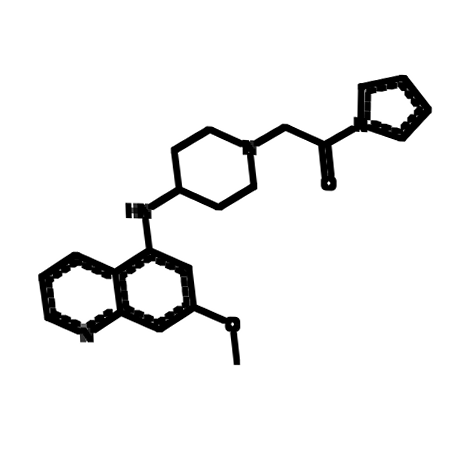 COc1cc(NC2CCN(CC(=O)n3cccc3)CC2)c2cccnc2c1